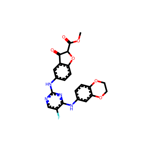 COC(=O)C1Oc2ccc(Nc3ncc(F)c(Nc4ccc5c(c4)OCCO5)n3)cc2C1=O